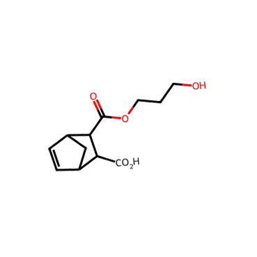 O=C(O)C1C2C=CC(C2)C1C(=O)OCCCO